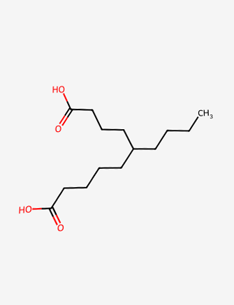 CCCCC(CCCCC(=O)O)CCCC(=O)O